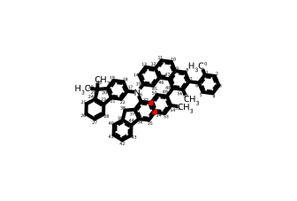 Cc1ccccc1-c1cc2ccc3ccc(N(c4ccc5c(c4)C4=C(CCC=C4)C5(C)C)c4cccc5c4Cc4ccccc4-5)cc3c2c(-c2ccccc2C)c1C